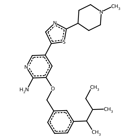 CCC(C)C(C)c1cccc(COc2cc(-c3cnc(C4CCN(C)CC4)s3)cnc2N)c1